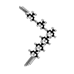 O=C([O-])CC([O-])(CC(=O)[O-])C(=O)[O-].O=C([O-])CC([O-])(CC(=O)[O-])C(=O)[O-].O=C([O-])CC([O-])(CC(=O)[O-])C(=O)[O-].O=C([O-])CC([O-])(CC(=O)[O-])C(=O)[O-].O=C([O-])CC([O-])(CC(=O)[O-])C(=O)[O-].O=C([O-])CC([O-])(CC(=O)[O-])C(=O)[O-].[Fe+3].[Fe+3].[Fe+3].[Fe+3].[Fe+3].[NH4+].[NH4+].[NH4+].[NH4+].[NH4+].[NH4+].[NH4+].[NH4+].[NH4+]